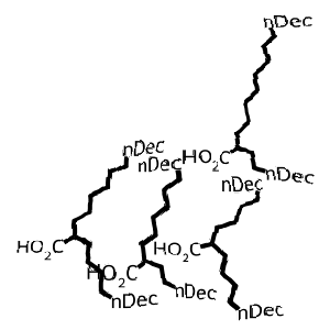 CCCCCCCCCCCCCCC(CCCCCCCCCCCCCC)C(=O)O.CCCCCCCCCCCCCCCCC(CCCCCCCCCCCC)C(=O)O.CCCCCCCCCCCCCCCCC(CCCCCCCCCCCCCC)C(=O)O.CCCCCCCCCCCCCCCCCCC(CCCCCCCCCCCC)C(=O)O